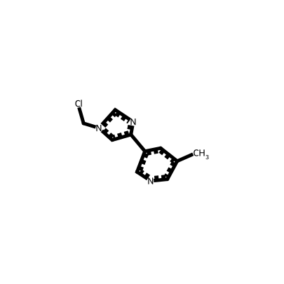 Cc1cncc(-c2cn(CCl)cn2)c1